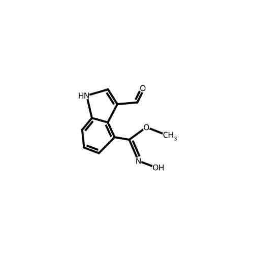 COC(=NO)c1cccc2[nH]cc(C=O)c12